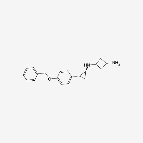 NC1CC(N[C@H]2C[C@@H]2c2ccc(OCc3ccccc3)cc2)C1